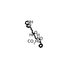 O=C(CCCCc1ccc2c(n1)NCCC2)NCCC(NC(=O)OCc1ccccc1)C(=O)O